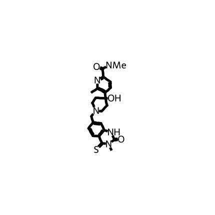 CNC(=O)c1ccc(C2(O)CCN(Cc3ccc4c(=S)n(C)c(=O)[nH]c4c3)CC2)c(C)n1